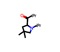 CC(C)C(=O)C1CC(C)(C)CN1C(C)C